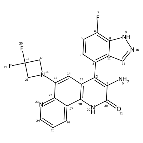 Nc1c(-c2ccc(F)c3[nH]ncc23)c2cc(N3CC(F)(F)C3)c3ncccc3c2[nH]c1=O